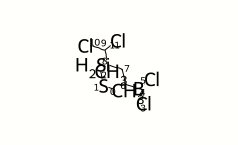 CSC.ClB(Cl)CC[SiH2]C(Cl)Cl